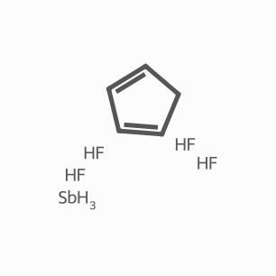 C1=CCC=C1.F.F.F.F.[SbH3]